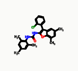 Cc1cc(C)c(NC(=O)Nc2oc3c(C)cc(C)cc3c2-c2ccccc2Cl)c(C)c1